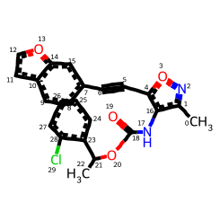 Cc1noc(C#Cc2ccc3ccoc3c2)c1NC(=O)OC(C)c1ccccc1Cl